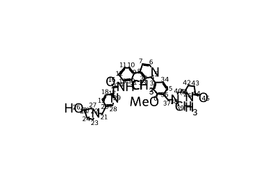 COc1cc(-c2nccc(-c3cccc(NC(=O)c4ccc(CN5CC[C@@H](O)C5)cn4)c3C)c2Cl)ccc1CN(C)C[C@@H]1CCC(=O)N1